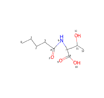 CCCCC(=O)NC(C(=O)O)C(C)O